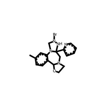 Cc1ccc2c(c1)N1CN(Br)NC1(c1ccccn1)CN1CCOC21